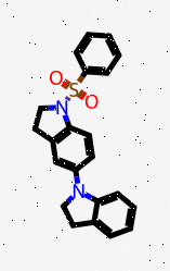 O=S(=O)(c1ccccc1)N1CCc2cc(N3CCc4ccccc43)ccc21